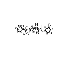 CN(Cc1csc(NC(=O)NCc2cccc(F)c2)n1)C(=O)c1cncnc1